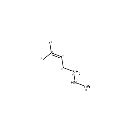 CCCN[SiH2]CC=C(C)C